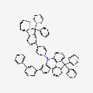 c1ccc(-c2cccc(-c3cccc(N(c4ccc(-c5ccc6c(c5)C(c5ccccc5)(c5ccccc5)c5ccccc5-6)cc4)c4cccc5c4-c4ccccc4C5(c4ccccc4)c4ccccc4)c3)c2)cc1